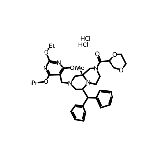 CCOc1nc(OC)c(CN2CC(C(c3ccccc3)c3ccccc3)N3CCN(C(=O)C4COCCO4)C[C@H]3C2)c(OC(C)C)n1.Cl.Cl